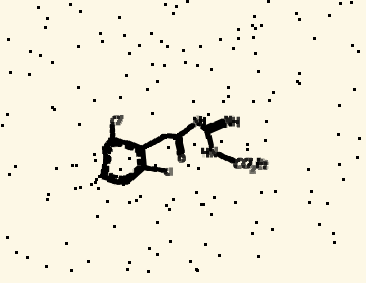 CCOC(=O)NC(=N)NC(=O)Cc1c(Cl)cccc1Cl